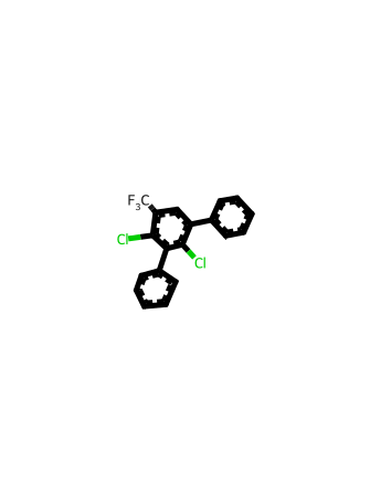 FC(F)(F)c1cc(-c2[c]cccc2)c(Cl)c(-c2ccccc2)c1Cl